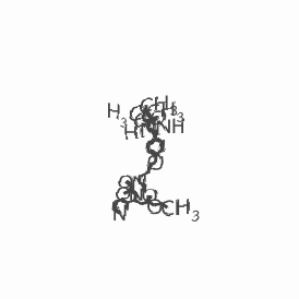 CCOC(=O)CC(c1cccnc1)N1CCN(CCCOc2ccc(C(=N)NC(=O)OC(C)(C)C)cc2)C(=O)C1=O